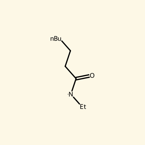 CCCCCCC(=O)[N]CC